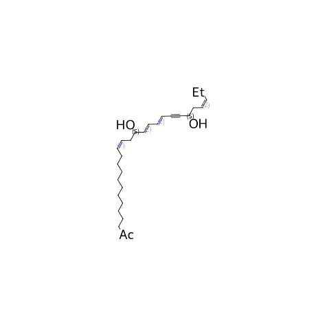 CC/C=C\C[C@H](O)C#C/C=C/C=C/[C@@H](O)C/C=C\CCCCCCCCCCC(C)=O